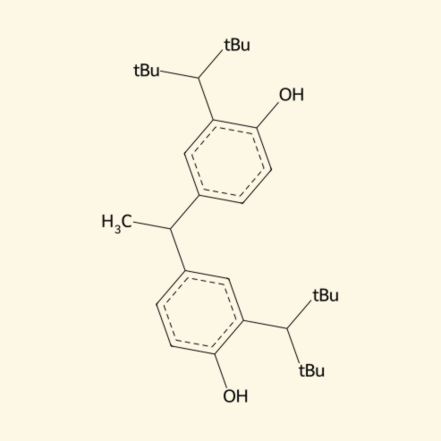 CC(c1ccc(O)c(C(C(C)(C)C)C(C)(C)C)c1)c1ccc(O)c(C(C(C)(C)C)C(C)(C)C)c1